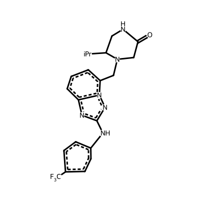 CC(C)C1CNC(=O)CN1Cc1cccc2nc(Nc3ccc(C(F)(F)F)cc3)nn12